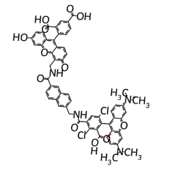 CN(C)c1ccc2c(-c3c(Cl)cc(C(=O)NCc4ccc5cc(C(=O)NCc6c7oc8cc(O)ccc8c(-c8ccc(C(=O)O)cc8C(=O)O)c-7ccc6=O)ccc5c4)c(Cl)c3C(=O)O)c3ccc(=[N+](C)C)cc-3oc2c1